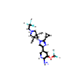 Nc1ncc(-c2cn([C@H]3[C@@H]4CN(CC(F)(F)F)C[C@@H]43)c(C3CC3)n2)cc1OC(F)F